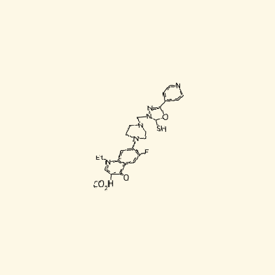 CCn1cc(C(=O)O)c(=O)c2cc(F)c(N3CCN(CN4N=C(c5ccncc5)OC4S)CC3)cc21